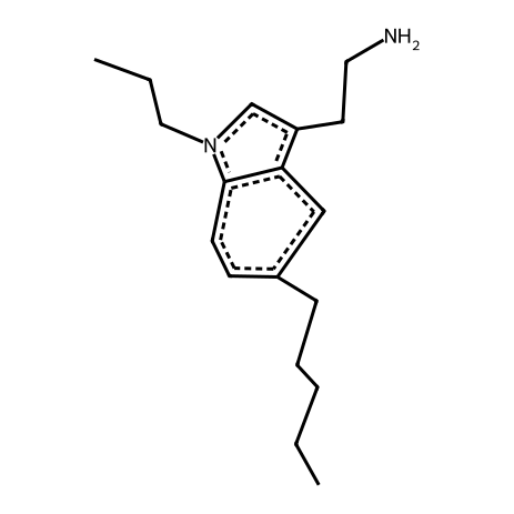 CCCCCc1ccc2c(c1)c(CCN)cn2CCC